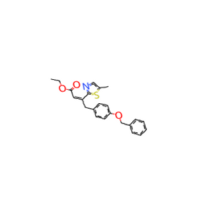 CCOC(=O)C=C(Cc1ccc(OCc2ccccc2)cc1)c1ncc(C)s1